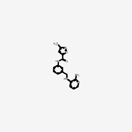 Cc1cc(C(=O)Nc2cccc(CNc3cccnc3N)c2)on1